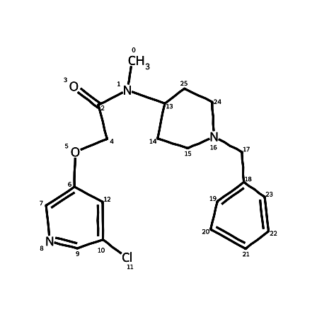 CN(C(=O)COc1cncc(Cl)c1)C1CCN(Cc2ccccc2)CC1